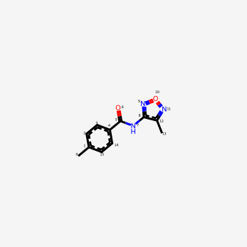 Cc1ccc(C(=O)Nc2nonc2C)cc1